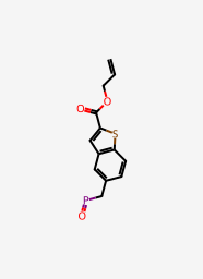 C=CCOC(=O)c1cc2cc(CP=O)ccc2s1